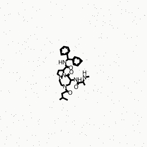 CNC(C)C(=O)NC1CN(C(=O)CC(C)C)CCN2CCC(C(=O)NC(c3ccccc3)c3ccccc3)N2C1=O